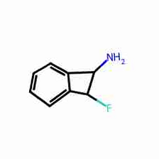 NC1c2ccccc2C1F